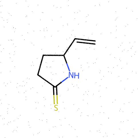 C=CC1CCC(=S)N1